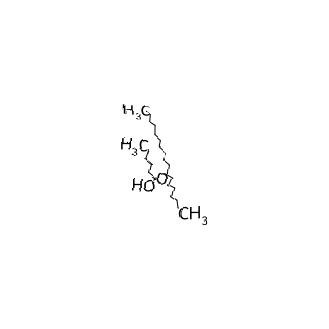 CCCCCC(=O)O.CCCCCCCCCCCCCCCCCC